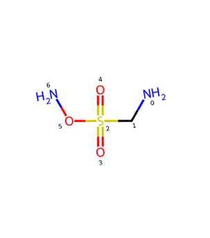 NCS(=O)(=O)ON